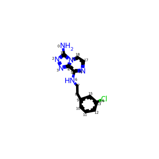 Nc1nnc2c(NCCc3cccc(Cl)c3)nccn12